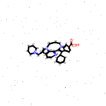 O=C(O)c1ccc2c(C3CCCCC3)c3n(c2c1)CCCn1cc(CN2CCCCC2)c2ccnc-3c21